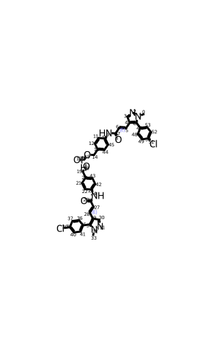 Cn1ncc(/C=C/C(=O)Nc2ccc(CO[PH](=O)OCc3ccc(NC(=O)/C=C/c4cnn(C)c4-c4ccc(Cl)cc4)cc3)cc2)c1-c1ccc(Cl)cc1